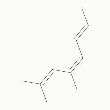 CC=CC=C(C)C=C(C)C